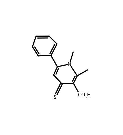 Cc1c(C(=O)O)c(=S)cc(-c2ccccc2)n1C